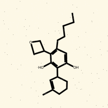 CCCCCc1cc(O)c(C2C=C(C)CCC2)c(O)c1C1COC1